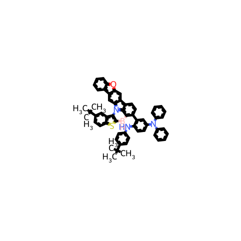 CC(C)(C)c1ccc(Nc2ccc(N(c3ccccc3)c3ccccc3)cc2-c2ccc3c4cc5oc6ccccc6c5cc4n4c3c2Bc2sc3ccc(C(C)(C)C)cc3c2-4)cc1